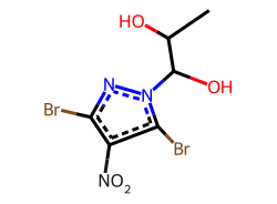 CC(O)C(O)n1nc(Br)c([N+](=O)[O-])c1Br